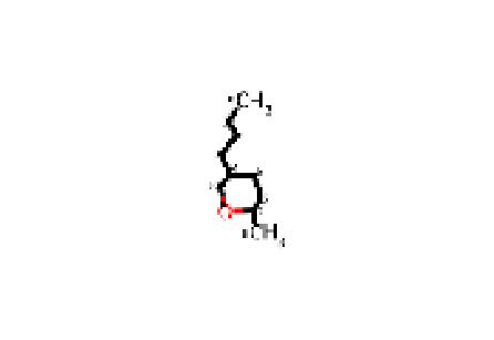 CCCCC1CCC(C)OC1